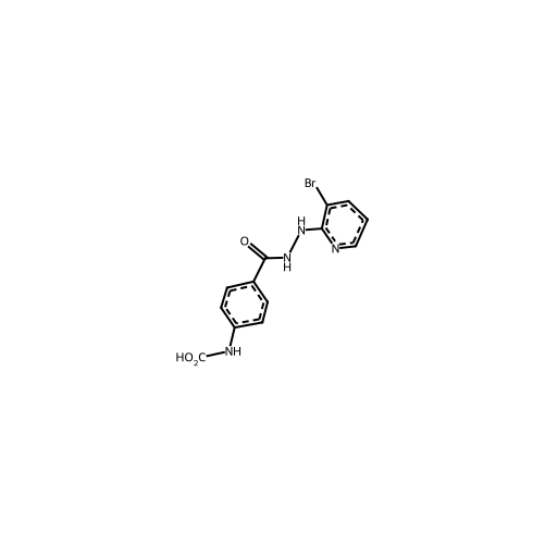 O=C(O)Nc1ccc(C(=O)NNc2ncccc2Br)cc1